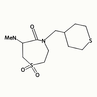 CNC1CS(=O)(=O)CCN(CC2CCSCC2)C1=O